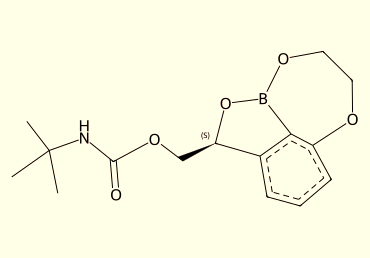 CC(C)(C)NC(=O)OC[C@H]1OB2OCCOc3cccc1c32